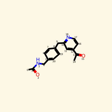 CC(=O)NCc1ccc(Cc2cc(C(C)=O)ccn2)cc1